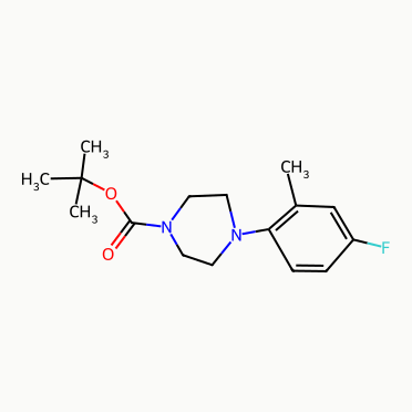 Cc1cc(F)ccc1N1CCN(C(=O)OC(C)(C)C)CC1